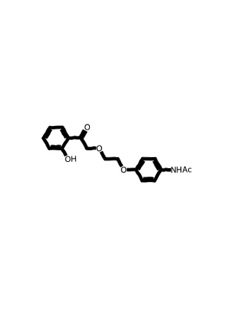 CC(=O)Nc1ccc(OCCOCC(=O)c2ccccc2O)cc1